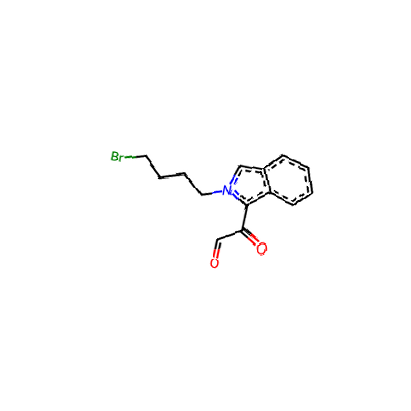 O=CC(=O)c1c2ccccc2cn1CCCCBr